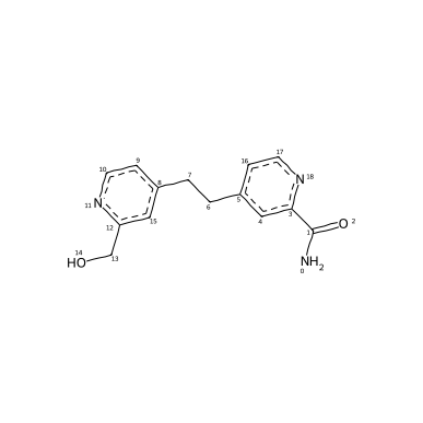 NC(=O)c1cc(CCc2ccnc(CO)c2)ccn1